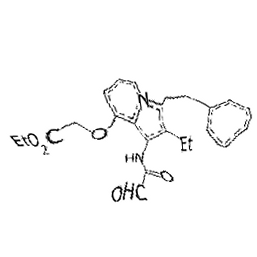 CCOC(=O)COc1cccn2c(Cc3ccccc3)c(CC)c(NC(=O)C=O)c12